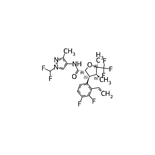 C=Cc1c([C@H]2[C@H](C(=O)Nc3cn(C(F)F)nc3C)O[C@@](C)(C(F)(F)F)[C@H]2C)ccc(F)c1F